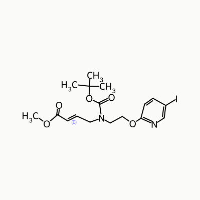 COC(=O)/C=C/CN(CCOc1ccc(I)cn1)C(=O)OC(C)(C)C